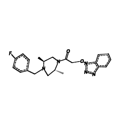 C[C@@H]1CN(Cc2ccc(F)cc2)[C@@H](C)CN1C(=O)COn1nnc2ccccc21